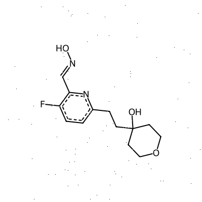 ON=Cc1nc(CCC2(O)CCOCC2)ccc1F